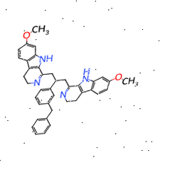 COc1ccc2c3c([nH]c2c1)C(CC(CC1=NCCc2c1[nH]c1cc(OC)ccc21)c1cccc(Cc2ccccc2)c1)=NCC3